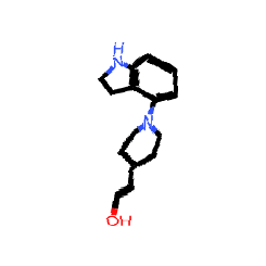 OCCC1CCN(c2cccc3c2CCN3)CC1